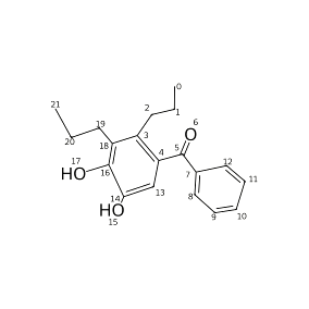 CCCc1c(C(=O)c2ccccc2)cc(O)c(O)c1CCC